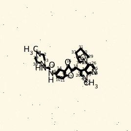 CN1CCN(NC(=O)Nc2ccc3c(c2)C(=O)/C(=C/c2cn(C)c4nccc(N5CC6CCC(C5)O6)c24)O3)CC1